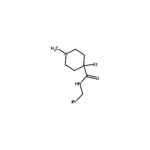 CCC1(C(=O)NCC(C)C)CCN(C)CC1